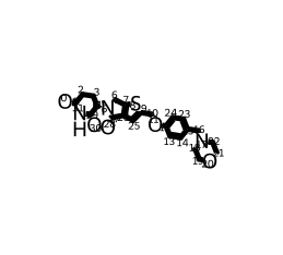 O=C1CC[C@H](N2Cc3sc(COc4ccc(CN5CCOCC5)cc4)cc3C2=O)C(=O)N1